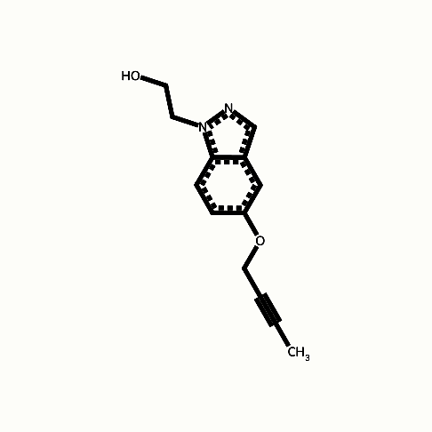 CC#CCOc1ccc2c(cnn2CCO)c1